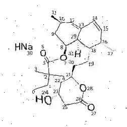 CCC(C)(C)C(=O)O[C@H]1C[C@@H](C)C=C2C=C[C@H](C)[C@H](CC[C@@H]3C[C@@H](O)CC(=O)O3)[C@H]21.[NaH]